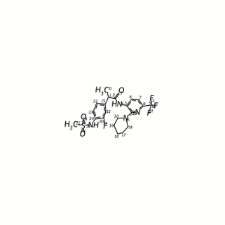 CC(C(=O)Nc1ccc(C(F)(F)F)nc1N1CCCCC1)c1ccc(NS(C)(=O)=O)c(F)c1